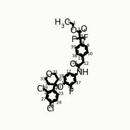 CCOC(=O)C(F)(F)c1ccc(CC(=O)Nc2ccc(OC3(c4ccc(Cl)cc4Cl)CCOCC3)c(F)c2)cc1